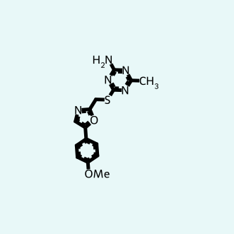 COc1ccc(-c2cnc(CSc3nc(C)nc(N)n3)o2)cc1